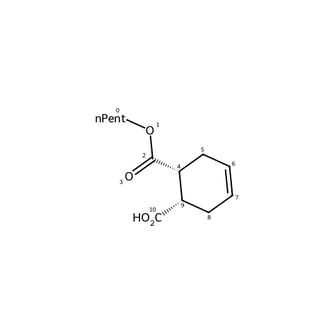 CCCCCOC(=O)[C@@H]1CC=CC[C@@H]1C(=O)O